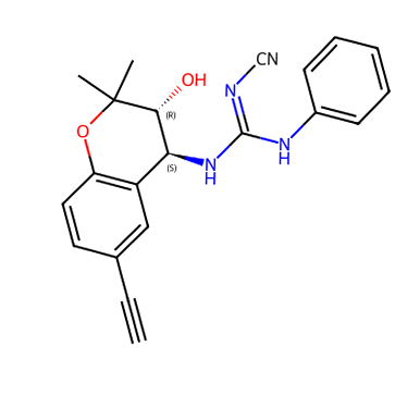 C#Cc1ccc2c(c1)[C@H](NC(=NC#N)Nc1ccccc1)[C@@H](O)C(C)(C)O2